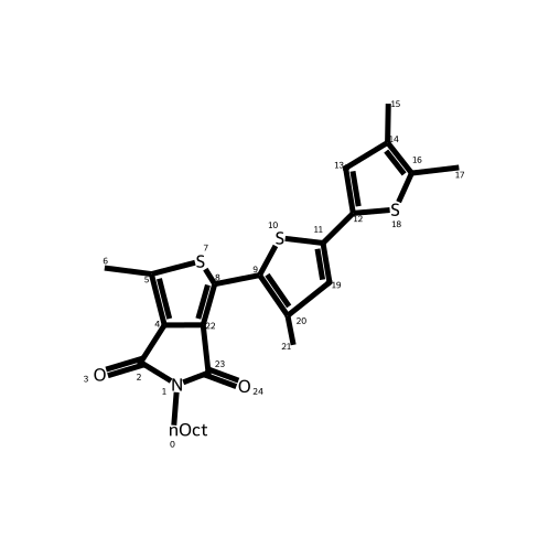 CCCCCCCCN1C(=O)c2c(C)sc(-c3sc(-c4cc(C)c(C)s4)cc3C)c2C1=O